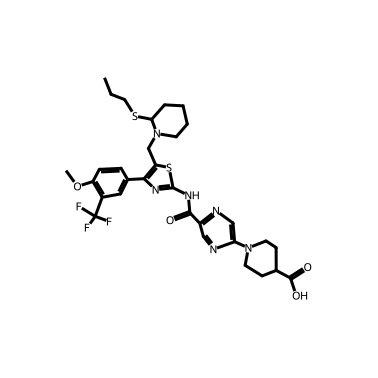 CCCSC1CCCCN1Cc1sc(NC(=O)c2cnc(N3CCC(C(=O)O)CC3)cn2)nc1-c1ccc(OC)c(C(F)(F)F)c1